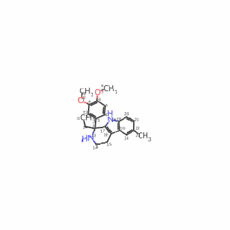 CCC1(c2ccc(OC)c(OC)c2)NCCc2c1[nH]c1ccc(C)cc21